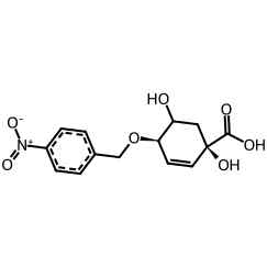 O=C(O)[C@]1(O)C=C[C@@H](OCc2ccc([N+](=O)[O-])cc2)C(O)C1